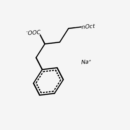 CCCCCCCCCCC(Cc1ccccc1)C(=O)[O-].[Na+]